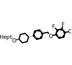 CCCCCCCO[C@H]1CC[C@H](c2ccc(COc3ccc(C#N)c(F)c3F)cc2)CC1